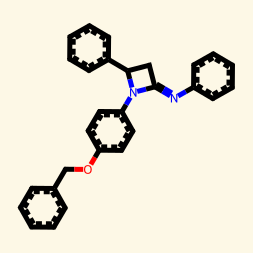 c1ccc(COc2ccc(N3C(=Nc4ccccc4)CC3c3ccccc3)cc2)cc1